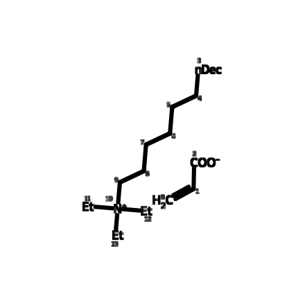 C=CC(=O)[O-].CCCCCCCCCCCCCCCC[N+](CC)(CC)CC